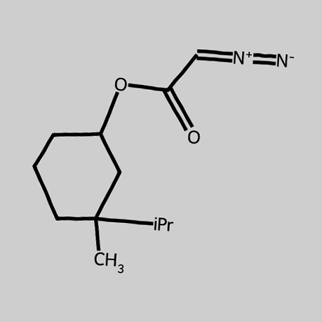 CC(C)C1(C)CCCC(OC(=O)C=[N+]=[N-])C1